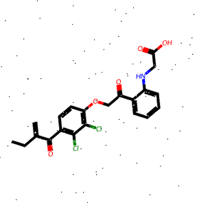 C=C(CC)C(=O)c1ccc(OCC(=O)c2ccccc2NCC(=O)O)c(Cl)c1Cl